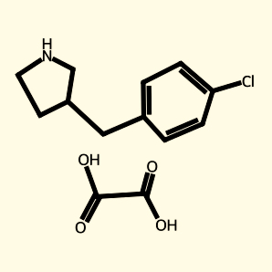 Clc1ccc(CC2CCNC2)cc1.O=C(O)C(=O)O